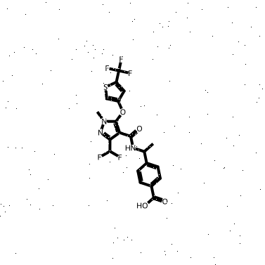 CC(NC(=O)c1c(C(F)F)nn(C)c1Oc1csc(C(F)(F)F)c1)c1ccc(C(=O)O)cc1